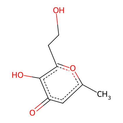 Cc1cc(=O)c(O)c(CCO)o1